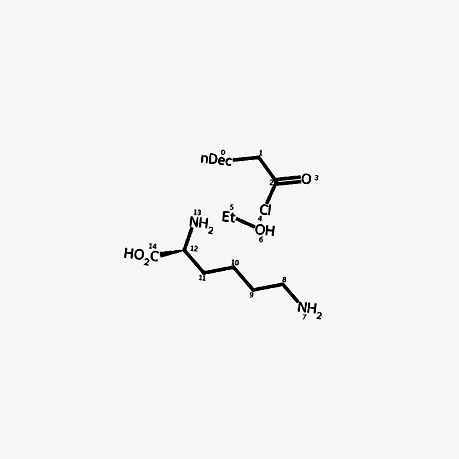 CCCCCCCCCCCC(=O)Cl.CCO.NCCCC[C@H](N)C(=O)O